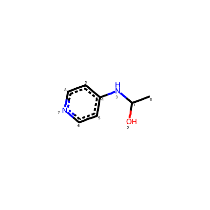 CC(O)Nc1ccncc1